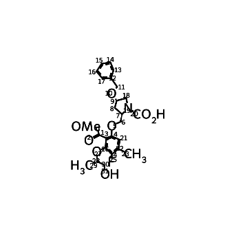 COC(=O)c1c(OC[C@H]2C[C@H](OCc3ccccc3)CN2C(=O)O)cc(C)c(F)c1O[C@H](C)CO